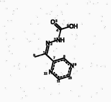 C/C(=N/NC(=O)O)c1cnccn1